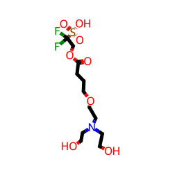 O=C(CCCOCCN(CCO)CCO)OCC(F)(F)S(=O)(=O)O